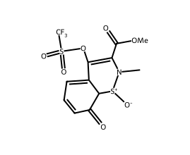 COC(=O)C1=C(OS(=O)(=O)C(F)(F)F)C2=CC=CC(=O)C2[S+]([O-])N1C